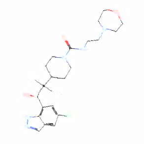 CC(C)(C1CCN(C(=O)NCCN2CCOCC2)CC1)[C@H](O)c1cc(Cl)cc2cn[nH]c12